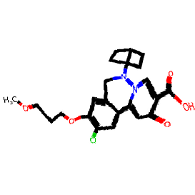 COCCCOc1cc2c(cc1Cl)-c1cc(=O)c(C(=O)O)cn1N(C13CCC1CC3)C2